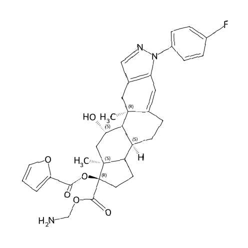 C[C@]12Cc3cnn(-c4ccc(F)cc4)c3C=C1CC[C@@H]1C2[C@@H](O)C[C@@]2(C)C1CC[C@]2(OC(=O)c1ccco1)C(=O)OCN